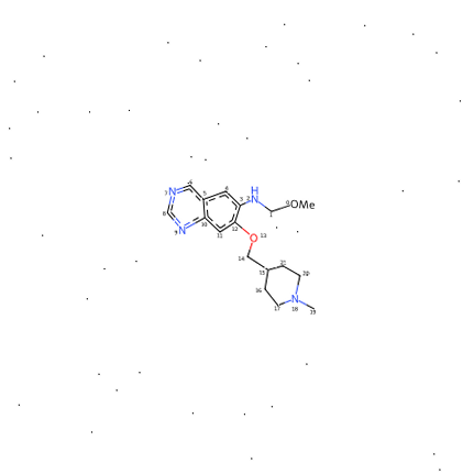 COCNc1cc2cncnc2cc1OCC1CCN(C)CC1